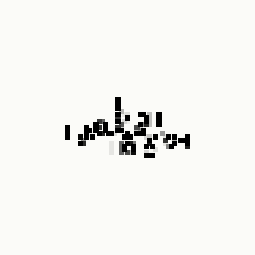 NOC[C@H](O)[C@@H](O)[C@H](O)C(=O)CO